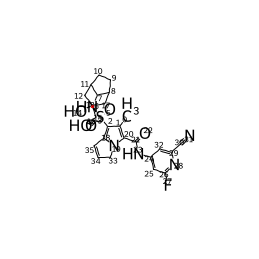 Cc1c(S(=O)(=O)NC2C3CCC2CC(O)(CO)C3)c2n(c1C(=O)Nc1cc(F)nc(C#N)c1)CC=C2